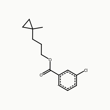 CC1(CCCOC(=O)c2[c]ccc(Cl)c2)CC1